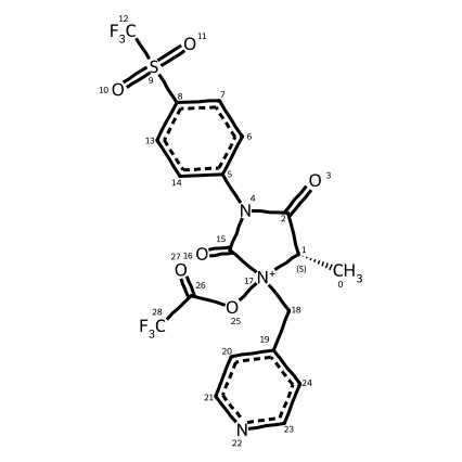 C[C@H]1C(=O)N(c2ccc(S(=O)(=O)C(F)(F)F)cc2)C(=O)[N+]1(Cc1ccncc1)OC(=O)C(F)(F)F